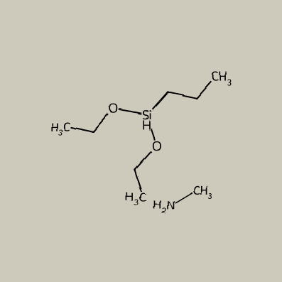 CCC[SiH](OCC)OCC.CN